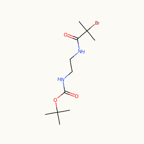 CC(C)(C)OC(=O)NCCNC(=O)C(C)(C)Br